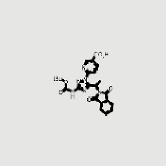 CC(c1nc(NC(=O)OC(C)(C)C)nn1-c1ccc(C(=O)O)cn1)N1C(=O)c2ccccc2C1=O